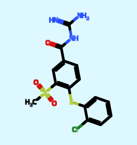 CS(=O)(=O)c1cc(C(=O)NC(=N)N)ccc1Sc1ccccc1Cl